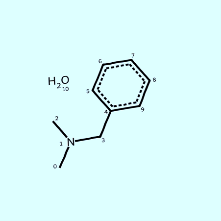 CN(C)Cc1ccccc1.O